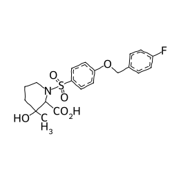 CC1(O)CCCN(S(=O)(=O)c2ccc(OCc3ccc(F)cc3)cc2)C1C(=O)O